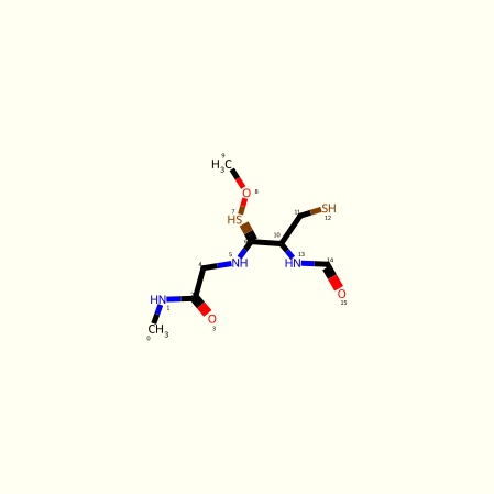 CNC(=O)CNC(=[SH]OC)C(CS)NC=O